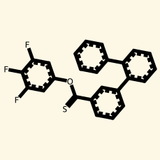 Fc1cc(OC(=S)c2cccc(-c3ccccc3-c3ccccc3)c2)cc(F)c1F